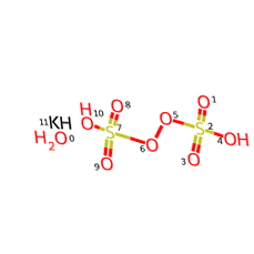 O.O=S(=O)(O)OOS(=O)(=O)O.[KH]